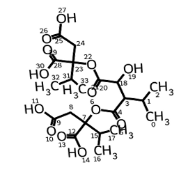 CC(C)C(C(=O)OC(CC(=O)O)(C(=O)O)C(C)C)C(O)C(=O)OC(CC(=O)O)(C(=O)O)C(C)C